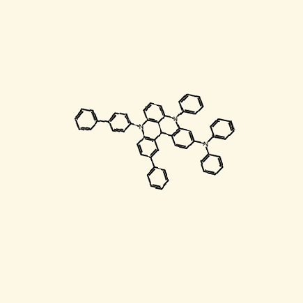 c1ccc(-c2ccc(N3c4ccc(-c5ccccc5)cc4C4c5ccc(N(c6ccccc6)c6ccccc6)cc5N(c5ccccc5)c5cccc3c54)cc2)cc1